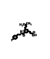 CC(C)=CCc1cc(/C=C/C(=O)O)cc(C(=O)NCCc2ccc(F)cc2)c1